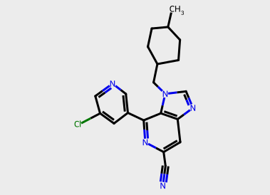 CC1CCC(Cn2cnc3cc(C#N)nc(-c4cncc(Cl)c4)c32)CC1